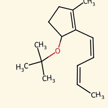 C/C=C\C=C/C1=C(C)CCC1OC(C)(C)C